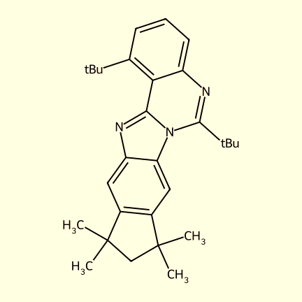 CC(C)(C)c1cccc2nc(C(C)(C)C)n3c4cc5c(cc4nc3c12)C(C)(C)CC5(C)C